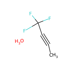 CC#CC(F)(F)F.O